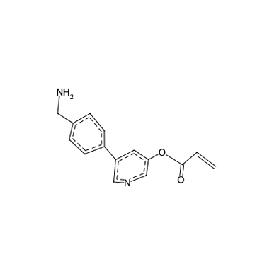 C=CC(=O)Oc1cncc(-c2ccc(CN)cc2)c1